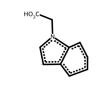 O=C(O)Cn1c[c]c2ccccc21